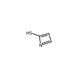 SC1=CC=N1